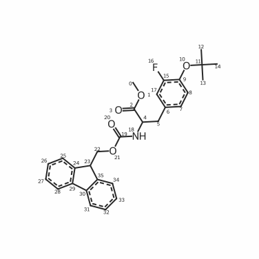 COC(=O)C(Cc1ccc(OC(C)(C)C)c(F)c1)NC(=O)OCC1c2ccccc2-c2ccccc21